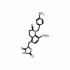 COc1ccc(CC2SC(=O)NC2=O)c2c1N(Cc1ccc([N+](=O)[O-])cc1)C(=O)CC2